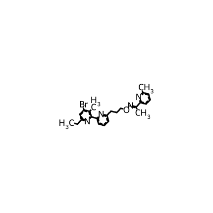 CCc1cc(Br)c(C)c(-c2cccc(CCCO/N=C(\C)c3cccc(C)n3)n2)n1